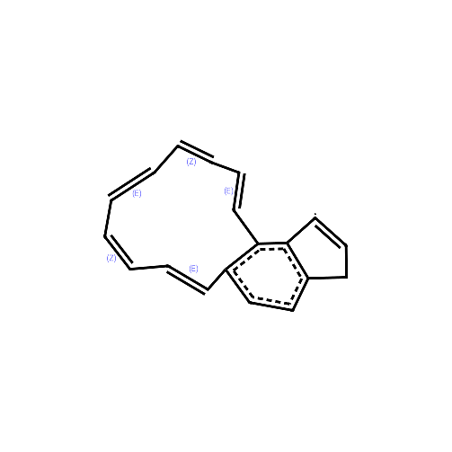 [C]1=CCc2ccc3c(c21)/C=C/C=C\C=C\C=C/C=C/3